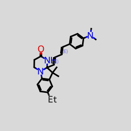 CCc1ccc2c(c1)C(C)(C)C1(/C=C/C=C/c3ccc(N(C)C)cc3)NC(=O)CCN21